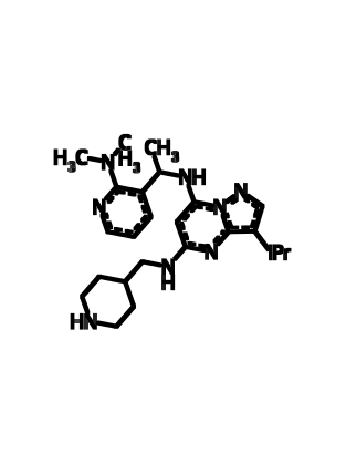 CC(C)c1cnn2c(NC(C)c3cccnc3N(C)C)cc(NCC3CCNCC3)nc12